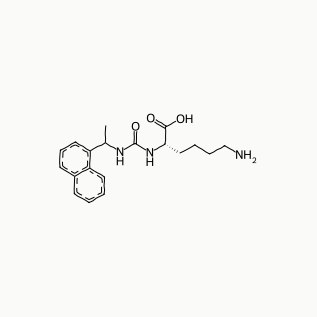 CC(NC(=O)N[C@@H](CCCCN)C(=O)O)c1cccc2ccccc12